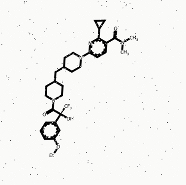 CCOc1cccc([C@@](O)(C(=O)N2CCC(CC3CCN(c4ccc(C(=O)N(C)C)c(C5CC5)n4)CC3)CC2)C(F)(F)F)c1